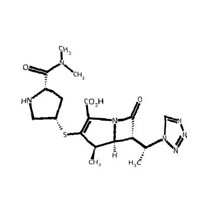 C[C@H]([C@H]1C(=O)N2C(C(=O)O)=C(S[C@@H]3CN[C@H](C(=O)N(C)C)C3)[C@H](C)[C@H]12)n1cnnn1